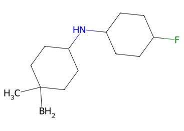 BC1(C)CCC(NC2CCC(F)CC2)CC1